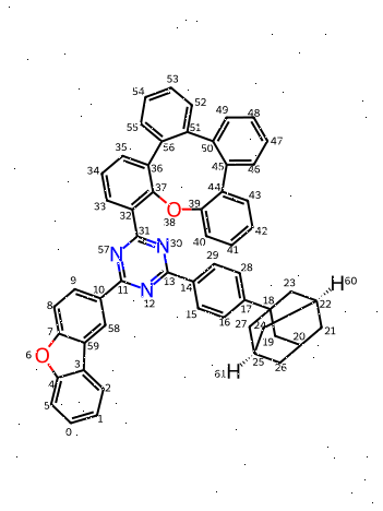 c1ccc2c(c1)oc1ccc(-c3nc(-c4ccc(C56CC7C[C@H](C5)C[C@@H](C7)C6)cc4)nc(-c4cccc5c4oc4ccccc4c4ccccc4c4ccccc54)n3)cc12